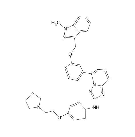 Cn1nc(COc2cccc(-c3cccc4nc(Nc5ccc(OCCN6CCCC6)cc5)nn34)c2)c2ccccc21